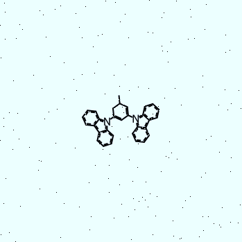 CC1C=C(n2c3ccccc3c3ccccc32)C=C(n2c3ccccc3c3ccccc32)C1